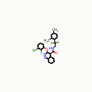 Cc1ccc(C(F)(F)CNC(=O)c2c(Oc3cccc(Br)c3F)nnc3ccccc23)c(C)c1